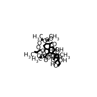 C/C=C(\C)C(=O)O[C@H]1C[C@@H](OC(C)=O)[C@@]2(C(=O)OC)CO[C@H]3[C@@H](O)[C@@](C)([C@]45O[C@@]4(C)[C@H]4C5O[C@@H]5OC=C[C@@]54O)[C@H]4[C@]1(CO[C@]4(O)C(=O)OC)[C@@H]32